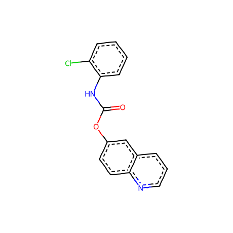 O=C(Nc1ccccc1Cl)Oc1ccc2ncccc2c1